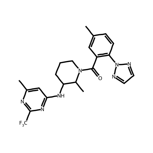 Cc1ccc(-n2nccn2)c(C(=O)N2CCCC(Nc3cc(C)nc(C(F)(F)F)n3)C2C)c1